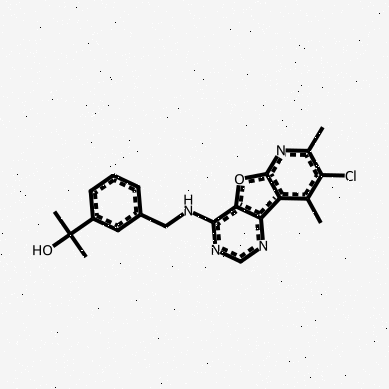 Cc1nc2oc3c(NCc4cccc(C(C)(C)O)c4)ncnc3c2c(C)c1Cl